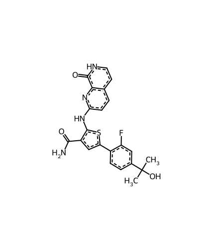 CC(C)(O)c1ccc(-c2cc(C(N)=O)c(Nc3ccc4cc[nH]c(=O)c4n3)s2)c(F)c1